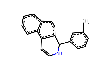 Cc1cccc(C2NC=Cc3c2ccc2ccccc32)c1